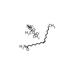 CC(=O)[O-].CC(=O)[O-].CCCCCCCC/C=C\CCCCCCCC(N)=O.[Na+].[Na+]